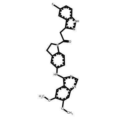 COc1cc2ncnc(Nc3ccc4c(c3)CCN4C(=O)Cc3n[nH]c4ccc(F)cc34)c2cc1OC